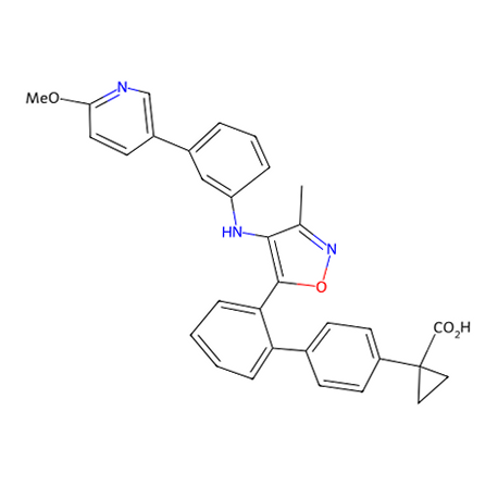 COc1ccc(-c2cccc(Nc3c(C)noc3-c3ccccc3-c3ccc(C4(C(=O)O)CC4)cc3)c2)cn1